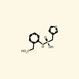 O=C(O)Cc1ccccc1NP(=O)(O)Cc1ccsc1